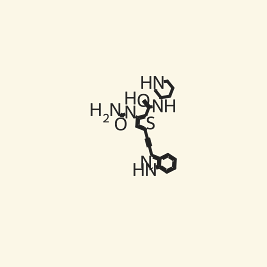 NC(=O)Nc1cc(C#Cc2n[nH]c3ccccc23)sc1C(=O)NC1CCCNC1